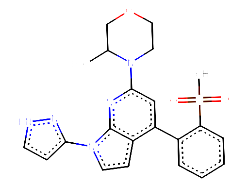 CC1COCCN1c1cc(-c2ccccc2S(C)(=O)=O)c2ccn(-c3cc[nH]n3)c2n1